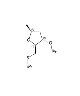 CC(C)O[C@H]1C[C@H](C)O[C@@H]1CSC(C)C